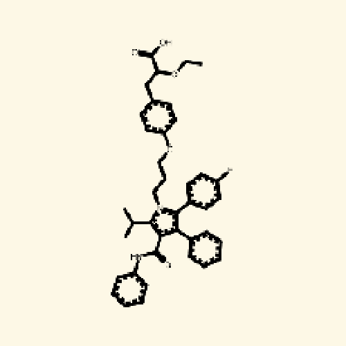 CCOC(Cc1ccc(OCCCn2c(-c3ccc(F)cc3)c(-c3ccccc3)c(C(=O)Nc3ccccc3)c2C(C)C)cc1)C(=O)O